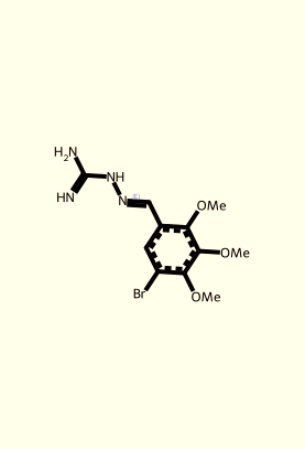 COc1c(Br)cc(/C=N/NC(=N)N)c(OC)c1OC